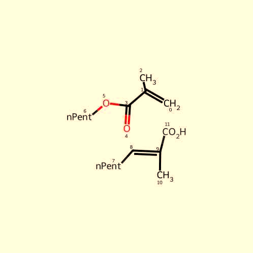 C=C(C)C(=O)OCCCCC.CCCCCC=C(C)C(=O)O